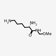 COCNC(=O)[C@@H](N)CCCCN